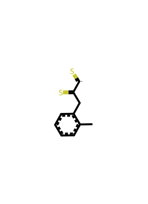 Cc1ccccc1CC(=S)[C]=S